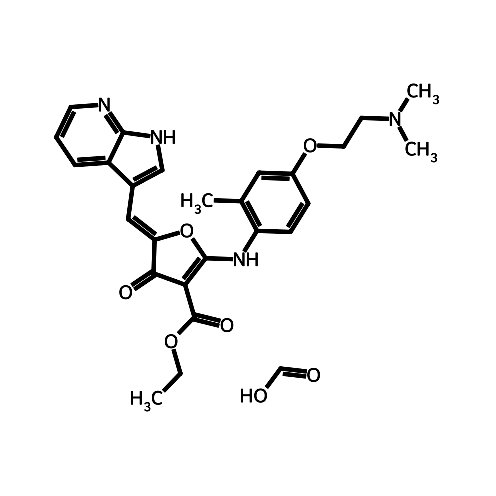 CCOC(=O)C1=C(Nc2ccc(OCCN(C)C)cc2C)OC(=Cc2c[nH]c3ncccc23)C1=O.O=CO